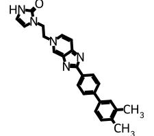 Cc1ccc(-c2ccc(-c3nc4ccn(CCn5cc[nH]c5=O)cc-4n3)cc2)cc1C